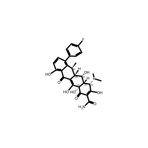 C[C@@H]1c2c(-c3ccc(F)cc3)ccc(O)c2C(=O)C2=C(O)[C@]3(O)C(=O)C(C(N)=O)=C(O)[C@@H](N(C)C)[C@H]3[C@@H](O)[C@H]21